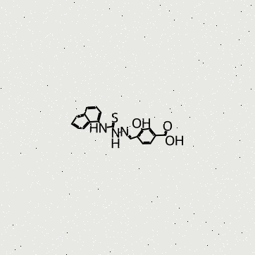 O=C(O)c1ccc(/C=N/NC(=S)Nc2cccc3ccccc23)c(O)c1